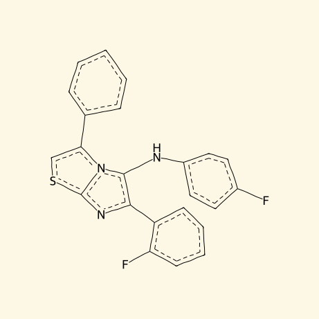 Fc1ccc(Nc2c(-c3ccccc3F)nc3scc(-c4ccccc4)n23)cc1